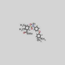 CCN(c1ccc(Oc2ccc(C)c(C)c2)cc1)S(=O)(=O)c1cc(C)c(C)c(C(=O)OC)c1